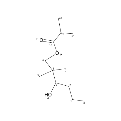 CCCC(O)C(C)(C)COC(=O)C(C)C